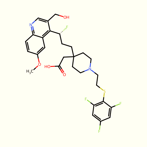 COc1ccc2ncc(CO)c([C@H](F)CCC3(CC(=O)O)CCN(CCSc4c(F)cc(F)cc4F)CC3)c2c1